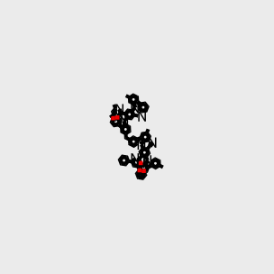 Cc1ccc2c(c1)c1cc(Cc3ccc4c(c3)c3ccc(C)cc3n4-c3cc(C#N)c(-n4c5ccccc5c5ccc(C)cc54)cc3-c3nc(C)cc(C)n3)ccc1n2-c1cc(-c2nc(-c3ccccc3)cc(-c3ccccc3)n2)c(-n2c3ccc(C)cc3c3cc(C)ccc32)cc1C#N